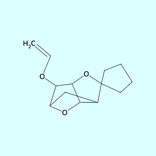 C=COC1C2CC3C(O2)C1OC31CCCC1